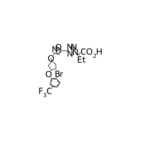 CCC(C(=O)O)n1nnc(-c2cc(OC3CCC(Oc4cc(C(F)(F)F)ccc4Br)C3)no2)n1